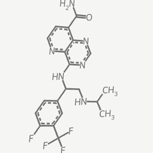 CC(C)NCC(Nc1ncnc2c(C(N)=O)ccnc12)c1ccc(F)c(C(F)(F)F)c1